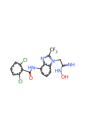 N=C(Cn1c(C(F)(F)F)nc2c(NC(=O)c3c(Cl)cccc3Cl)cccc21)NO